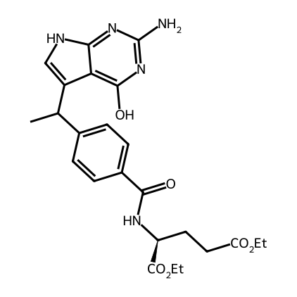 CCOC(=O)CC[C@H](NC(=O)c1ccc(C(C)c2c[nH]c3nc(N)nc(O)c23)cc1)C(=O)OCC